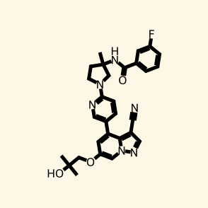 CC(C)(O)COc1cc(-c2ccc(N3CCC(C)(NC(=O)c4cccc(F)c4)C3)nc2)c2c(C#N)cnn2c1